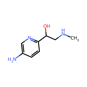 CNCC(O)c1ccc(N)cn1